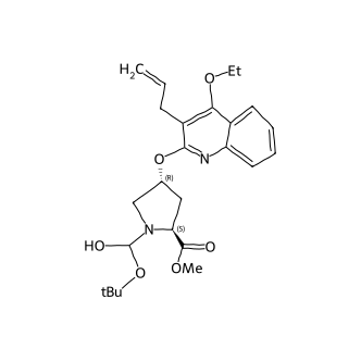 C=CCc1c(O[C@@H]2C[C@@H](C(=O)OC)N(C(O)OC(C)(C)C)C2)nc2ccccc2c1OCC